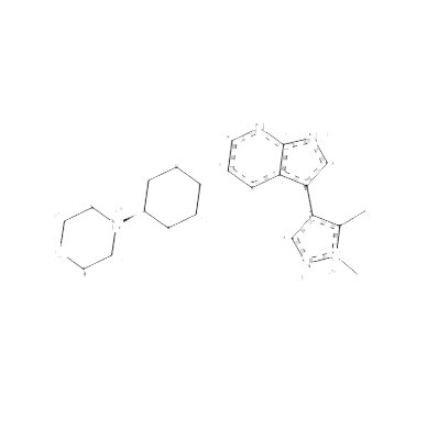 Cc1c(-c2c[nH]c3ncc([C@H]4CC[C@H](N5CCOCC5)CC4)cc23)cnn1C